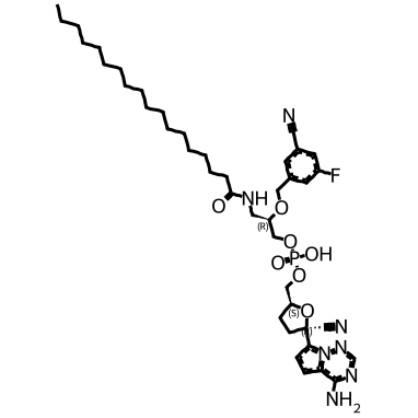 CCCCCCCCCCCCCCCCCC(=O)NC[C@H](COP(=O)(O)OC[C@@H]1CC[C@](C#N)(c2ccc3c(N)ncnn23)O1)OCc1cc(F)cc(C#N)c1